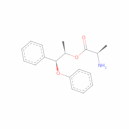 C[C@@H](N)C(=O)O[C@H](C)[C@@H](Oc1ccccc1)c1ccccc1